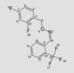 Fc1ccc(CO/N=[C]\c2ccccc2C(F)(F)F)c(F)c1